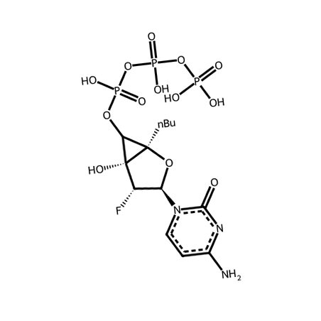 CCCC[C@]12O[C@@H](n3ccc(N)nc3=O)[C@H](F)[C@@]1(O)C2OP(=O)(O)OP(=O)(O)OP(=O)(O)O